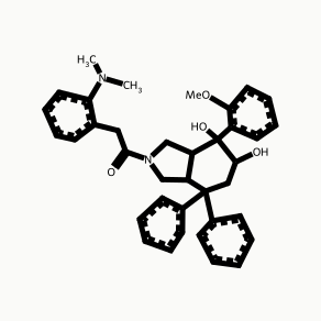 COc1ccccc1C1(O)C(O)CC(c2ccccc2)(c2ccccc2)C2CN(C(=O)Cc3ccccc3N(C)C)CC21